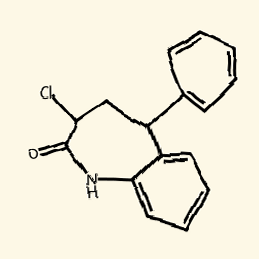 O=C1Nc2ccccc2C(c2ccccc2)CC1Cl